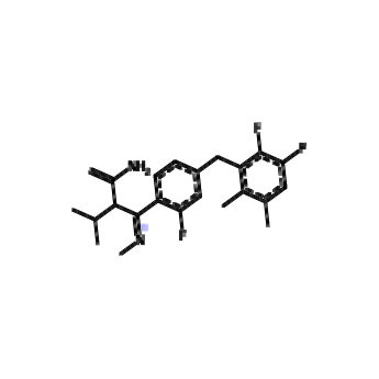 C=C(N)C(/C(=N\C)c1ccc(Cc2c(C)c(C)cc(F)c2F)cc1F)C(C)C